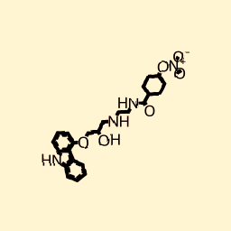 O=C(NCCNCC(O)COc1cccc2[nH]c3ccccc3c12)C1CCC(O[N+](=O)[O-])CC1